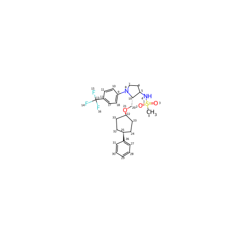 CS(=O)(=O)NC1CCN(c2ccc(C(F)(F)F)cc2)[C@H]1CO[C@H]1CC[C@@H](c2ccccc2)CC1